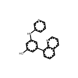 Oc1cc(Nc2cccnc2)cc(-c2cccc3cccnc23)c1